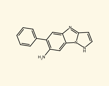 Nc1cc2c(cc1-c1ccccc1)nc1cc[nH]n12